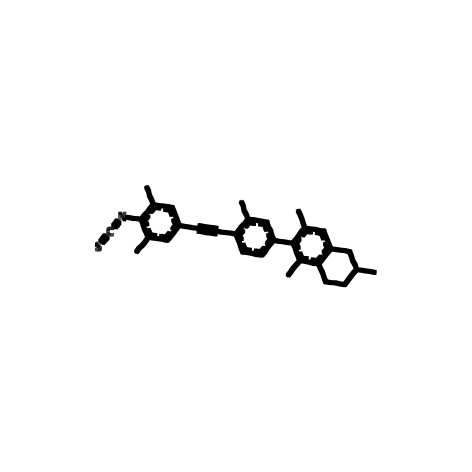 Cc1cc(-c2c(C)cc3c(c2C)CCC(C)C3)ccc1C#Cc1cc(C)c(N=C=S)c(C)c1